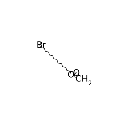 C=CC(=O)OCCCCCCCCCCCCCCBr